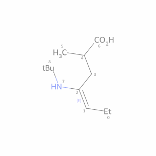 CC/C=C(\CC(C)C(=O)O)NC(C)(C)C